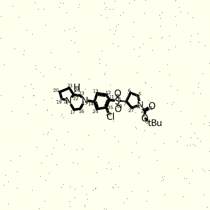 CC(C)(C)OC(=O)N1CC[C@H](S(=O)(=O)c2ccc(N3CCN4CCC[C@H]4C3)cc2Cl)C1